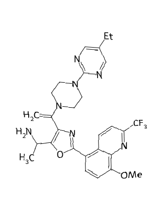 C=C(c1nc(-c2ccc(OC)c3nc(C(F)(F)F)ccc23)oc1C(C)N)N1CCN(c2ncc(CC)cn2)CC1